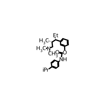 CC[C@H](c1cccc(OC(=O)Nc2ccc(C(C)C)cc2)c1)[C@@H](C)CN(C)C